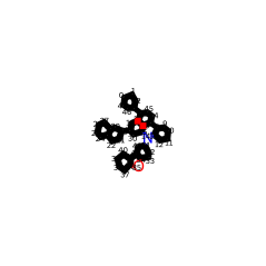 c1ccc(-c2ccc(-c3ccccc3N(c3cccc(-c4ccc5ccccc5c4)c3)c3ccc4oc5ccccc5c4c3)cc2)cc1